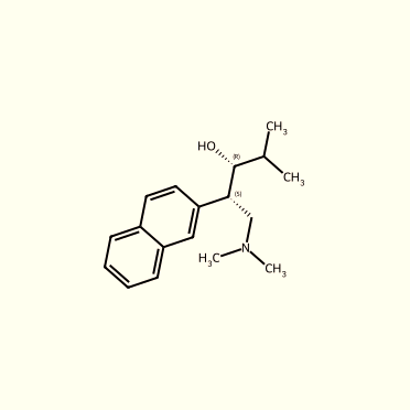 CC(C)[C@@H](O)[C@H](CN(C)C)c1ccc2ccccc2c1